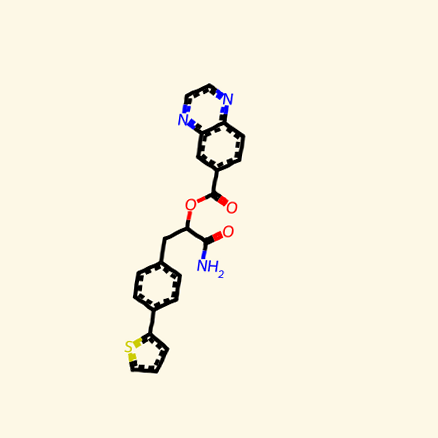 NC(=O)C(Cc1ccc(-c2cccs2)cc1)OC(=O)c1ccc2nccnc2c1